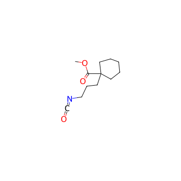 COC(=O)C1(CCCN=C=O)CCCCC1